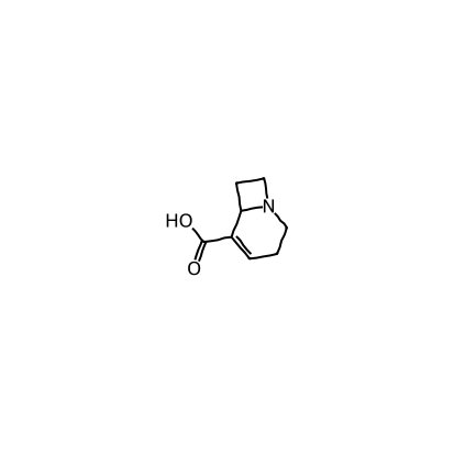 O=C(O)C1=CCCN2CCC12